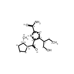 CCC(CO)c1sc(C(N)=O)nc1C(=O)N1CCC[C@@H]1C